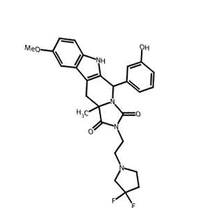 COc1ccc2[nH]c3c(c2c1)CC1(C)C(=O)N(CCN2CCC(F)(F)C2)C(=O)N1C3c1cccc(O)c1